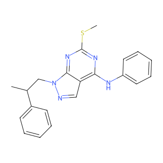 CSc1nc(Nc2ccccc2)c2cnn(CC(C)c3ccccc3)c2n1